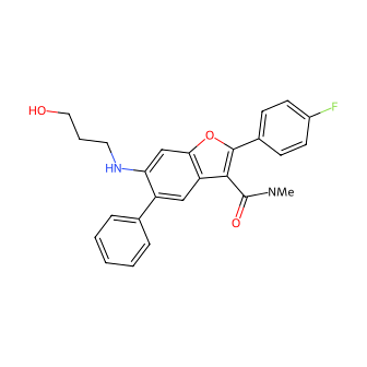 CNC(=O)c1c(-c2ccc(F)cc2)oc2cc(NCCCO)c(-c3ccccc3)cc12